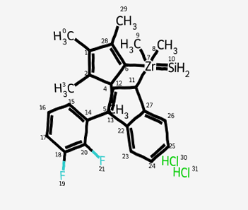 CC1=C(C)C(C)[C]([Zr]([CH3])([CH3])(=[SiH2])[CH]2C=C(c3cccc(F)c3F)c3ccccc32)=C1C.Cl.Cl